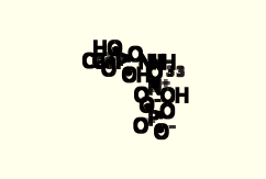 N.N.O=P([O-])(O)O.O=P([O-])([O-])[O-].O=[N+]([O-])O.[Ca+2].[Ca+2]